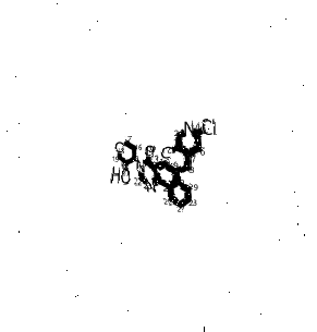 Cc1cnc(Cl)cc1Cc1cc2c(=O)n([C@H]3CCOC[C@@H]3O)cnc2c2ccccc12